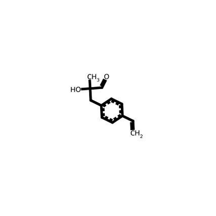 C=Cc1ccc(CC(C)(O)C=O)cc1